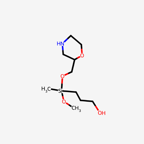 CO[Si](C)(CCCO)OCC1CNCCO1